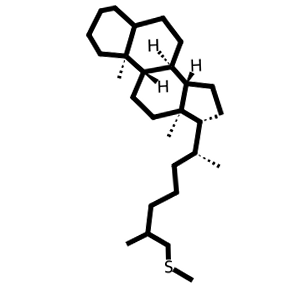 CSCC(C)CCC[C@@H](C)[C@H]1CC[C@H]2[C@@H]3CCC4CCCC[C@]4(C)[C@H]3CC[C@]12C